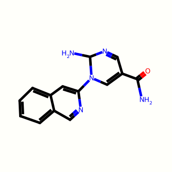 NC(=O)C1=CN(c2cc3ccccc3cn2)C(N)N=C1